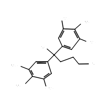 COc1cc(C(C#N)(CCCC#N)c2cc(OC)c(OC)c(OC)c2)cc(OC)c1OC